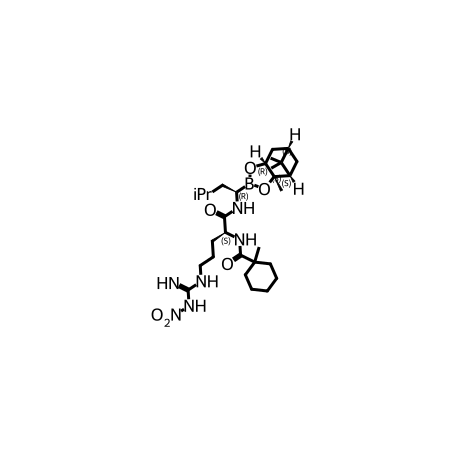 CC(C)C[C@H](NC(=O)[C@H](CCCNC(=N)N[N+](=O)[O-])NC(=O)C1(C)CCCCC1)B1O[C@@H]2C[C@@H]3C[C@@H](C3(C)C)[C@]2(C)O1